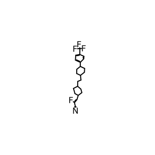 N#CC(F)=CC1CCC(CCC2CCC(c3ccc(C(F)(F)F)cc3)CC2)CC1